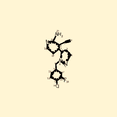 C#Cc1c(-c2ccnn2Cc2ccc(Cl)c(F)c2)ccnc1N